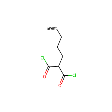 CCCCCCCCC(C(=O)Cl)C(=O)Cl